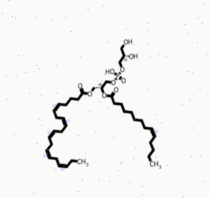 CC/C=C\C/C=C\C/C=C\C/C=C\C/C=C\CCCC(=O)OC[C@H](COP(=O)(O)OC[C@@H](O)CO)OC(=O)CCCCCCC/C=C\CCCC